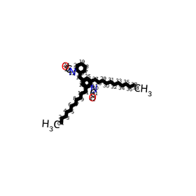 CCCCCCCCCCCCc1cc(CC2CCCCC2N=C=O)cc(CCCCCCCCCCCC)c1N=C=O